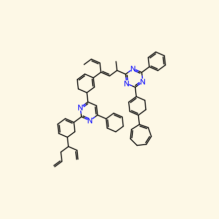 C=CCC(C=C)C1C=CC=C(c2nc(C3=CCCC=C3)cc(C3C=C(C(/C=C\C)=C/C(C)c4nc(C5=CC=C(C6=CC=CCC=C6)CC5)nc(-c5ccccc5)n4)C=CC3)n2)C1